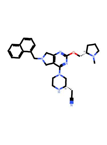 CN1CCC[C@H]1COc1nc2c(c(N3CCN[C@@H](CC#N)C3)n1)CN(Cc1cccc3ccccc13)C2